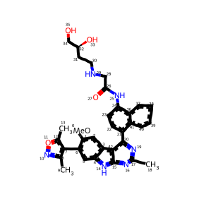 COc1cc2c(cc1-c1c(C)noc1C)[nH]c1nc(C)nc(-c3ccc(NC(=O)CNCC[C@H](O)CO)c4ccccc34)c12